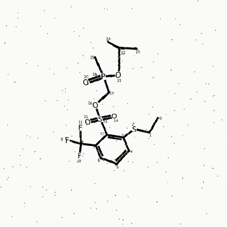 CCSc1cccc(C(F)(F)F)c1S(=O)(=O)OCP(C)(=O)OC(C)C